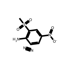 CS(=O)(=O)c1cc([N+](=O)[O-])ccc1N.N#N